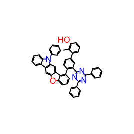 Cc1c(O)cccc1-c1ccc(-c2cccc3oc4cc5c6ccccc6n(-c6ccccc6)c5cc4c23)c(-c2nc(-c3ccccc3)nc(-c3ccccc3)n2)c1